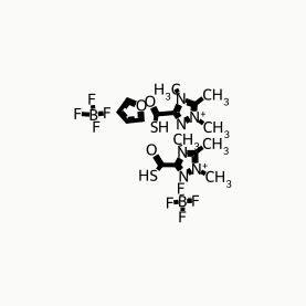 Cc1n(C)c(C(=O)S)n[n+]1C.Cc1n(C)c(C(=O)S)n[n+]1C.F[B-](F)(F)F.F[B-](F)(F)F.c1ccoc1